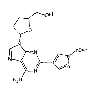 CCCCCCCCCCn1cc(-c2nc(N)c3ncn(C4[CH]CC(CO)O4)c3n2)cn1